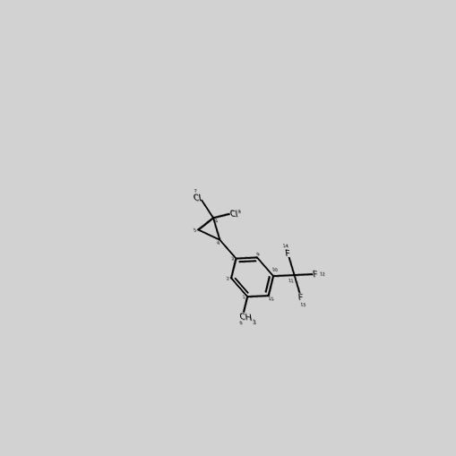 Cc1cc(C2CC2(Cl)Cl)cc(C(F)(F)F)c1